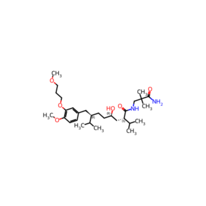 COCCCOc1cc(C[C@@H](CC[C@@H](O)C[C@H](C(=O)NCC(C)(C)C(N)=O)C(C)C)C(C)C)ccc1OC